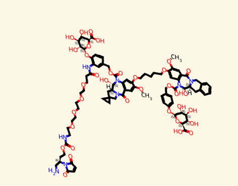 COc1cc2c(cc1OCCCCCOc1cc3c(cc1OC)C(=O)N1CC4(CC4)C[C@H]1[C@H](O)N3C(=O)OCc1ccc(O[C@@H]3O[C@H](C(=O)O)[C@@H](O)[C@H](O)[C@H]3O)c(NC(=O)CCOCCOCCOCCOCCNC(=O)OCC[C@H](CN)N3C(=O)C=CC3=O)c1)N(C(=O)OCc1ccc(O[C@@H]3O[C@H](C(=O)O)[C@@H](O)[C@H](O)[C@H]3O)cc1)[C@@H](O)[C@@H]1Cc3ccccc3CN1C2=O